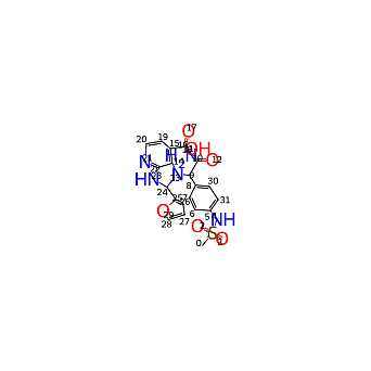 CS(=O)(=O)Nc1ccc(C(C(N)=O)N2c3c(C(=O)O)ccnc3NC2c2ccco2)cc1